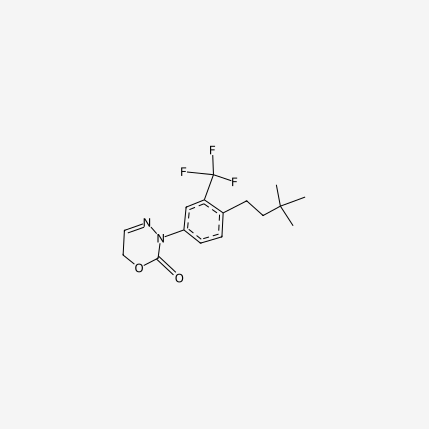 CC(C)(C)CCc1ccc(N2N=CCOC2=O)cc1C(F)(F)F